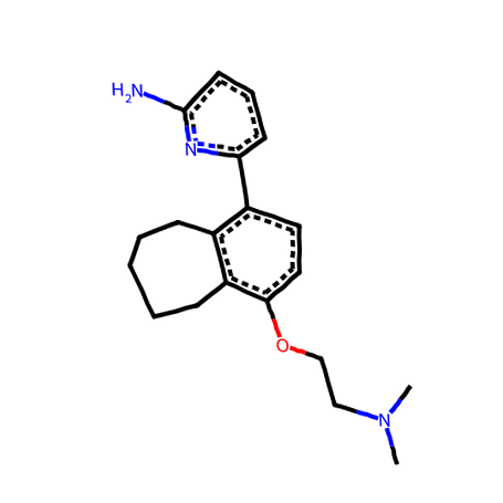 CN(C)CCOc1ccc(-c2cccc(N)n2)c2c1CCCCC2